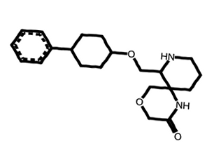 O=C1COCC2(CCCNC2COC2CCC(c3ccccc3)CC2)N1